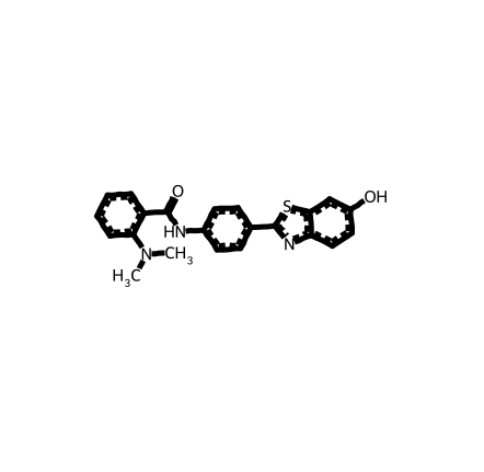 CN(C)c1ccccc1C(=O)Nc1ccc(-c2nc3ccc(O)cc3s2)cc1